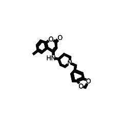 Cc1ccc2oc(=O)cc(NC3CCN(Cc4ccc5c(c4)OCO5)CC3)c2c1